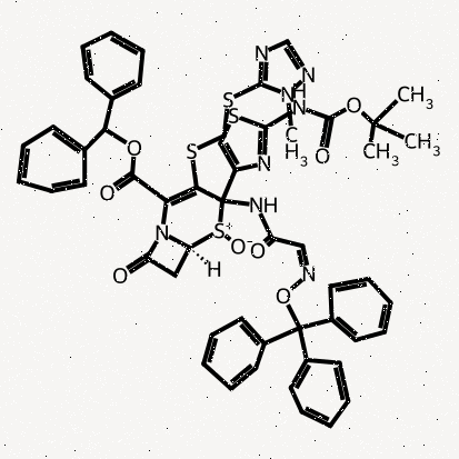 Cn1ncnc1SCSC1=C(C(=O)OC(c2ccccc2)c2ccccc2)N2C(=O)C[C@@H]2[S+]([O-])C1(NC(=O)/C=N\OC(c1ccccc1)(c1ccccc1)c1ccccc1)c1csc(NC(=O)OC(C)(C)C)n1